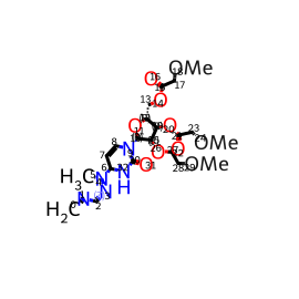 C=N/C=N\N(C)C1C=CN([C@@H]2O[C@H](COC(=O)COC)[C@@H](OC(=O)COC)[C@H]2OCCOC)C(=O)N1